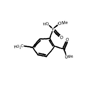 COC(=O)c1ccc(C(=O)O)cc1P(=O)(O)OC